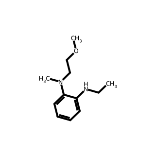 CCNc1ccccc1N(C)CCOC